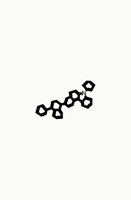 C1=C(c2ccccc2)c2ccccc2C(c2ccc3c(ccc4c3c3ccccc3n4-c3ccccc3)c2)C1